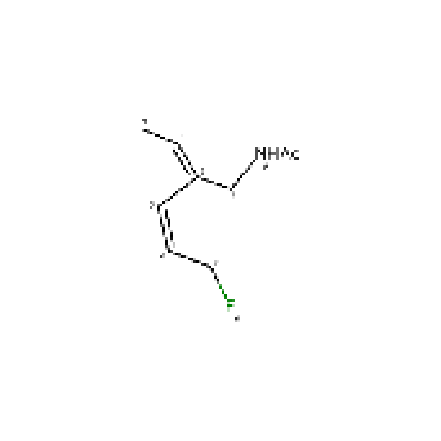 C/C=C(\C=C/CF)CNC(C)=O